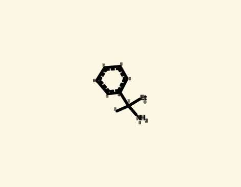 CCC(C)(N)c1c[c]ccc1